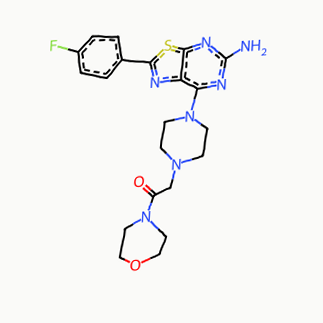 Nc1nc(N2CCN(CC(=O)N3CCOCC3)CC2)c2nc(-c3ccc(F)cc3)sc2n1